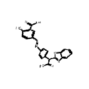 O=C(O)c1cc(N=Nc2ccc(C(C(=O)O)c3nc4ccccc4o3)cc2)ccc1O